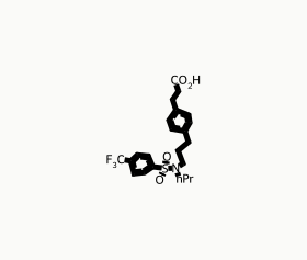 CCCN(CCCc1ccc(CCC(=O)O)cc1)S(=O)(=O)c1ccc(C(F)(F)F)cc1